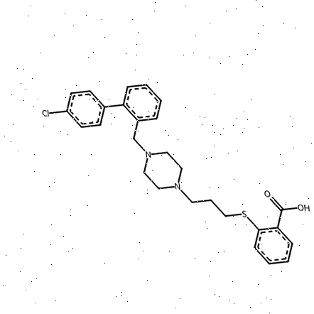 O=C(O)c1ccccc1SCCCN1CCN(Cc2ccccc2-c2ccc(Cl)cc2)CC1